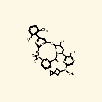 Cc1cccc(C)c1-c1cc2nc(n1)NS(=O)(=O)c1cccc(c1)C(=O)N1CC(O2)C(C(C)C)CC1c1nc(N(C)C2CC3(CC3)C2)cnc1C